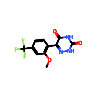 COc1cc(C(F)(F)F)ccc1-c1n[nH]c(=O)[nH]c1=O